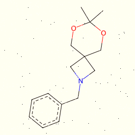 CC1(C)OCC2(CO1)CN(Cc1ccccc1)C2